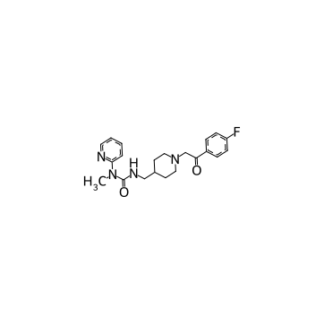 CN(C(=O)NCC1CCN(CC(=O)c2ccc(F)cc2)CC1)c1ccccn1